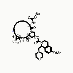 COc1ccc2c(c1)CCN(C(=O)O[C@@H]1C[C@H]3C(=O)N[C@]4(C(=O)O)C[C@H]4/C=C\CCCCC[C@H](NC(=O)OC(C)(C)C)C(=O)N3C1)C2CN1CCOCC1